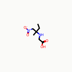 CCC(C)(C[N+](=O)[O-])NCC(=O)O